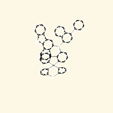 c1ccc(-c2ccc(N(c3cccc4c3-c3ccccc3C43c4ccccc4Oc4ccccc43)c3cc4c5ccccc5oc4c4ccccc34)c3ccccc23)cc1